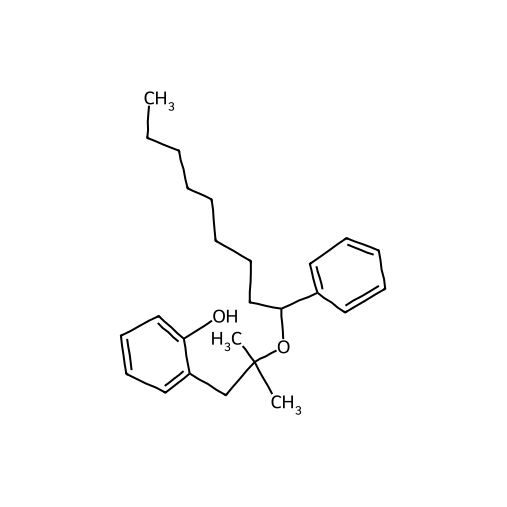 CCCCCCCCC(OC(C)(C)Cc1ccccc1O)c1ccccc1